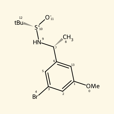 COc1cc(Br)cc([C@@H](C)N[S@@+]([O-])C(C)(C)C)c1